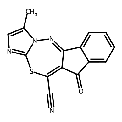 Cc1cnc2sc(C#N)c3c(=O)c4ccccc4c-3nn12